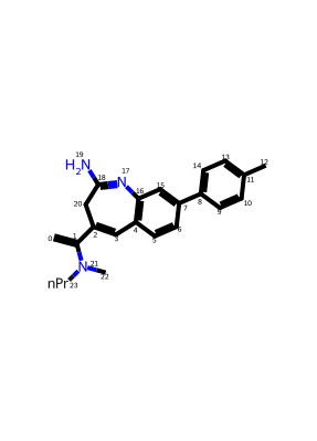 C=C(C1=Cc2ccc(-c3ccc(C)cc3)cc2N=C(N)C1)N(C)CCC